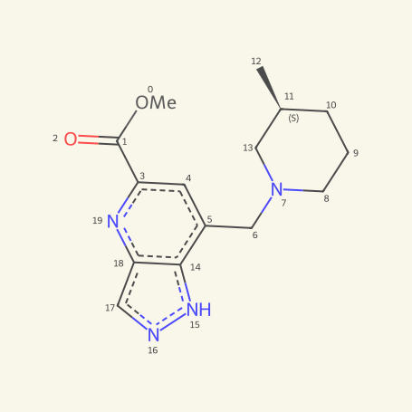 COC(=O)c1cc(CN2CCC[C@H](C)C2)c2[nH]ncc2n1